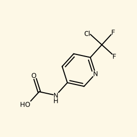 O=C(O)Nc1ccc(C(F)(F)Cl)nc1